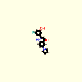 O=c1cc(-c2cc(O)cc(F)c2)[nH]c2ccc(N3CCCC3)cc12